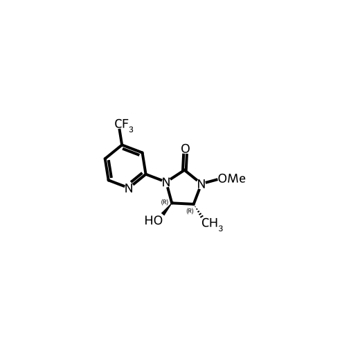 CON1C(=O)N(c2cc(C(F)(F)F)ccn2)[C@H](O)[C@H]1C